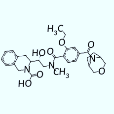 CCOc1cc(C(=O)N2C3CCC2COC3)ccc1C(=O)N(C)C[C@@H](O)C1Cc2ccccc2CN1C(=O)O